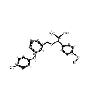 CCOc1ccc(C(OCc2cccc(Oc3ccc(Cl)cc3)c2)C(Cl)C(F)(F)F)cc1